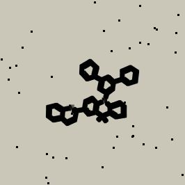 CC1(C)c2ccccc2N(c2cc(-c3ccccc3)cc(-c3ccccc3)c2)c2ccc(-c3ccc4ccccc4n3)cc21